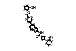 CC(C)[C@H]1COCCN1[C@H]1C[C@@H](C(=O)Nc2cc3cc(-c4cnc(CO[C@H]5CCC[C@@H]5O)nc4)ccn3n2)C1